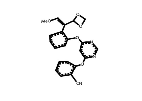 CO/C=C(\c1ccccc1Oc1cc(Oc2ccccc2C#N)ncn1)C1OCO1